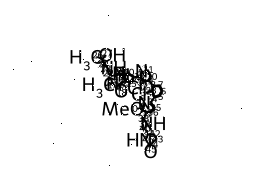 COc1nc(-c2cccc(-c3ccnc(-c4cc5c(=O)n(C)c(CNC[C@@H](C)O)nn5c4)c3Cl)c2Cl)ccc1CNC[C@H]1CCC(=O)N1